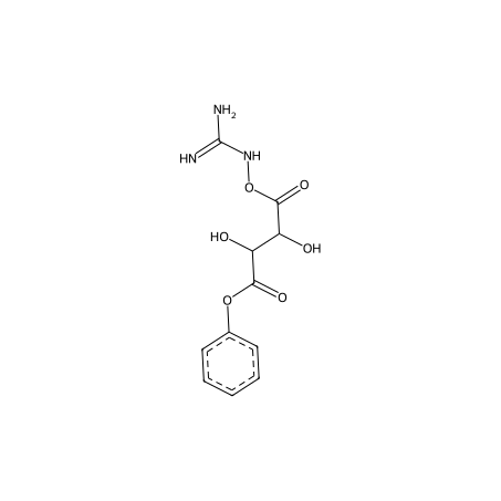 N=C(N)NOC(=O)C(O)C(O)C(=O)Oc1ccccc1